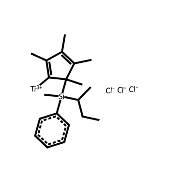 CCC(C)[Si](C)(c1ccccc1)C1(C)C(C)=C(C)C(C)=[C]1[Ti+3].[Cl-].[Cl-].[Cl-]